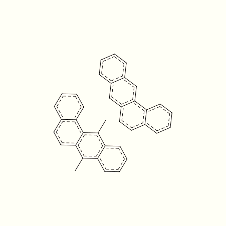 Cc1c2ccccc2c(C)c2c1ccc1ccccc12.c1ccc2cc3c(ccc4ccccc43)cc2c1